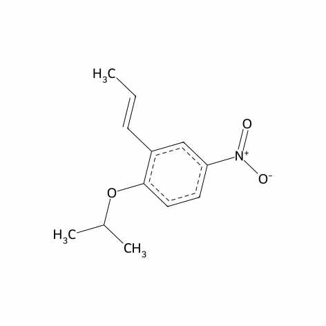 CC=Cc1cc([N+](=O)[O-])ccc1OC(C)C